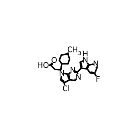 CC1CCC(C(CC(=O)O)n2cc(Cl)c3cnc(-c4c[nH]c5ncc(F)cc45)nc32)CC1